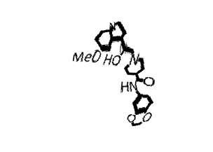 COc1ccc2nccc([C@H](O)CN3CCC(C(=O)Nc4ccc5c(c4)OCCO5)CC3)c2c1